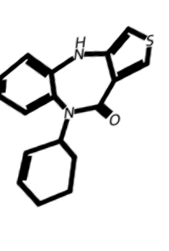 O=C1c2cscc2Nc2ccccc2N1C1C=CCCC1